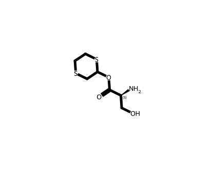 N[C@@H](CO)C(=O)OC1CSCCS1